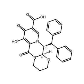 O=C(O)c1cn2c(c(O)c1=O)C(=O)N1CCCO[C@@H]1[C@@H]2C(c1ccccc1)c1ccccc1